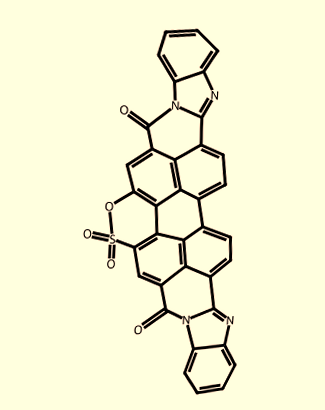 O=c1c2cc3c4c5c(cc6c(=O)n7c8ccccc8nc7c7ccc(c8ccc(c2c84)c2nc4ccccc4n12)c5c67)S(=O)(=O)O3